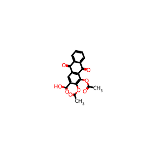 CC(=O)Oc1c(C(=O)O)cc2c(c1OC(C)=O)C(=O)c1ccccc1C2=O